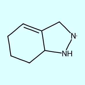 C1=C2C[N]NC2CCC1